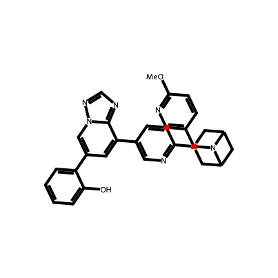 COc1ccc(CN2C3CC2CN(c2ccc(-c4cc(-c5ccccc5O)cn5ncnc45)cn2)C3)cn1